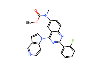 CN(C(=O)OC(C)(C)C)c1ccc2nc(-c3ccccc3F)nc(-n3ccc4cnccc43)c2c1